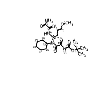 COCCCN(NC(=O)C(N)=O)N(C(=O)C(=O)NC(=O)OC(C)(C)C)C1CCCCC1